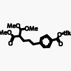 COC(=O)C(CCCc1ccc(C(=O)OC(C)(C)C)cc1)C(OC)OC